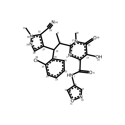 CC(c1nc(C(=O)Nc2cnoc2)c(O)c(=O)n1C)C(c1ccccc1Cl)c1cnn(C)c1C#N